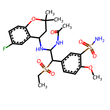 CCS(=O)(=O)C(c1ccc(OC)c(S(N)(=O)=O)c1)C(NC(C)=O)NC1CC(C)(C)Oc2ccc(F)cc21